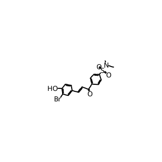 CN(C)S(=O)(=O)c1ccc(C(=O)/C=C/c2ccc(O)c(Br)c2)cc1